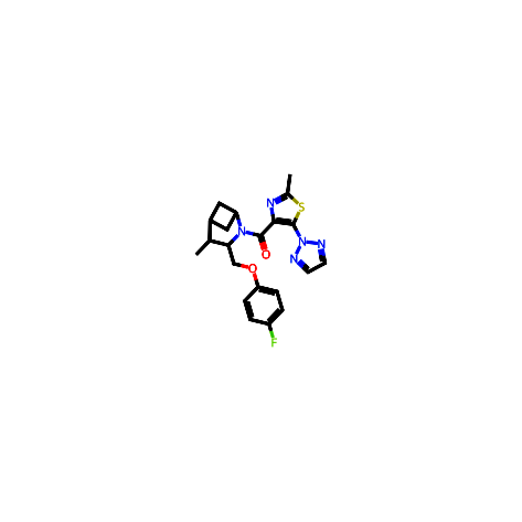 Cc1nc(C(=O)N2C3CC(C3)C(C)C2COc2ccc(F)cc2)c(-n2nccn2)s1